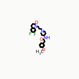 COc1cccc(CC(=O)NC2CCN(CCCN3C(=O)CCc4cc(F)c(F)cc43)CC2)c1